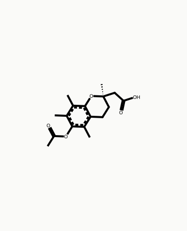 CC(=O)Oc1c(C)c(C)c2c(c1C)CC[C@](C)(CC(=O)O)O2